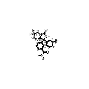 CN(C)C(=O)c1cccc(C2(c3cccc(Br)c3)NC(=S)N3CC(F)(F)CN=C32)c1